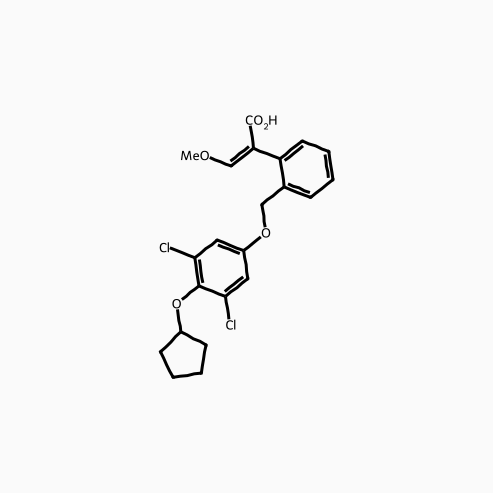 COC=C(C(=O)O)c1ccccc1COc1cc(Cl)c(OC2CCCC2)c(Cl)c1